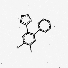 Brc1cc(-c2cccs2)c(-c2ccccc2)cc1I